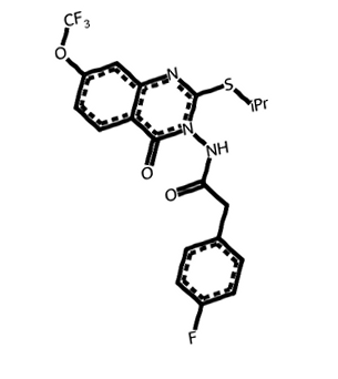 CC(C)Sc1nc2cc(OC(F)(F)F)ccc2c(=O)n1NC(=O)Cc1ccc(F)cc1